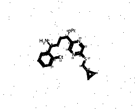 CCC[C@@H](CC[C@H](N)c1ccccc1CC)c1cnc(SCC2CC2)cn1